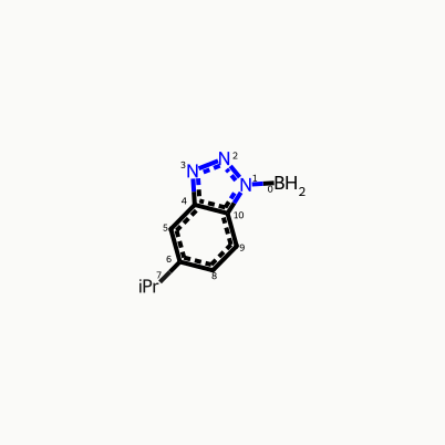 Bn1nnc2cc(C(C)C)ccc21